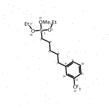 CCO[Si](CCCCCc1cccc(C(F)(F)F)c1)(OC)OCC